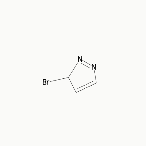 BrC1C=CN=N1